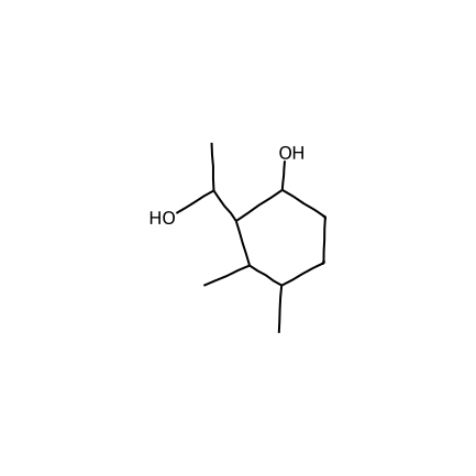 CC(O)C1C(O)CCC(C)C1C